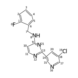 Fc1ccccc1CNc1ccnc(-c2cncc(Cl)c2)n1